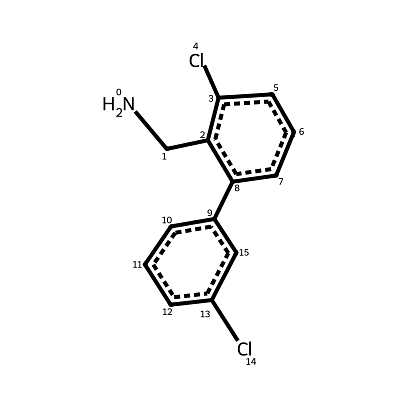 NCc1c(Cl)c[c]cc1-c1cccc(Cl)c1